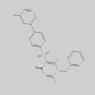 CCCCc1nc(=O)c(S(=O)(=O)c2ccc(-c3cncc(F)c3)cc2)c(O)n1[C@@H](C)c1ccccc1